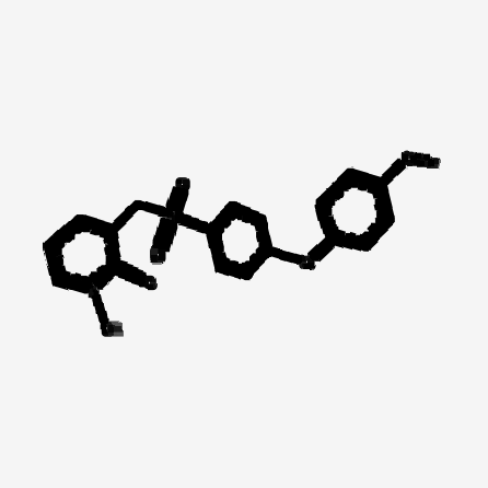 COc1ccc(Oc2ccc(S(=O)(=O)Cc3cccn(O)c3=O)cc2)cc1